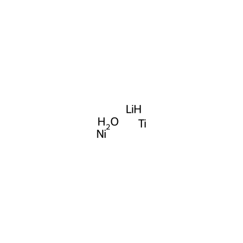 O.[LiH].[Ni].[Ti]